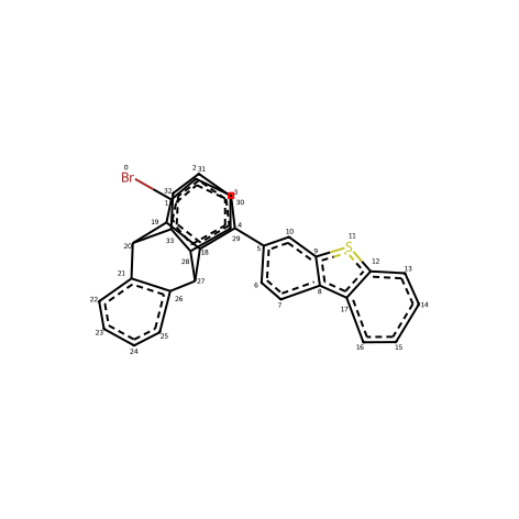 Brc1ccc(-c2ccc3c(c2)sc2ccccc23)c2c1C1c3ccccc3C2c2ccccc21